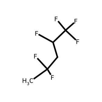 CC(F)(F)CC(F)C(F)(F)F